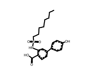 CCCCCCCCS(=O)(=O)Nc1cc(-c2ccc(O)cc2)ccc1C(=O)O